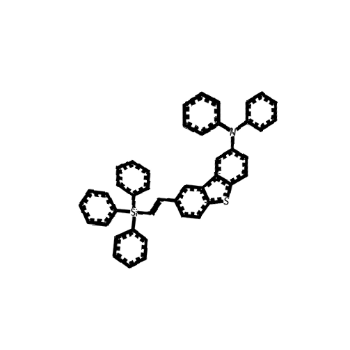 C(=C\[Si](c1ccccc1)(c1ccccc1)c1ccccc1)/c1ccc2sc3ccc(N(c4ccccc4)c4ccccc4)cc3c2c1